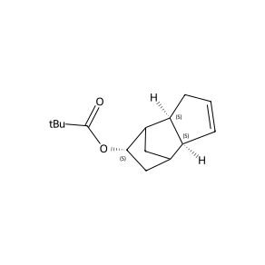 CC(C)(C)C(=O)O[C@H]1CC2CC1[C@H]1CC=C[C@@H]21